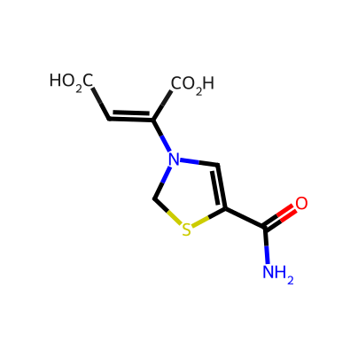 NC(=O)C1=CN(/C(=C/C(=O)O)C(=O)O)CS1